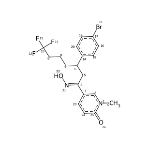 Cn1cc(/C(CC(CCCC(F)(F)F)c2ccc(Br)cc2)=N/O)ccc1=O